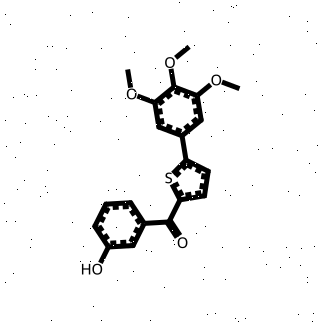 COc1cc(-c2ccc(C(=O)c3cccc(O)c3)s2)cc(OC)c1OC